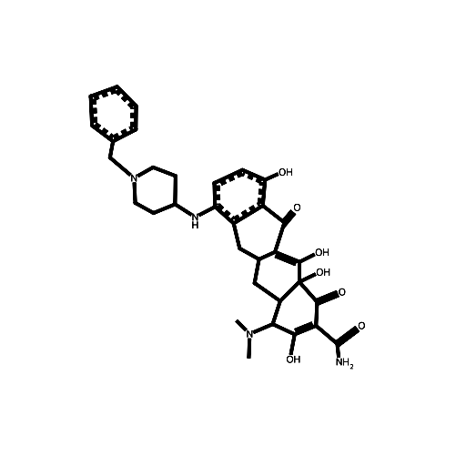 CN(C)C1C(O)=C(C(N)=O)C(=O)C2(O)C(O)=C3C(=O)c4c(O)ccc(NC5CCN(Cc6ccccc6)CC5)c4CC3CC12